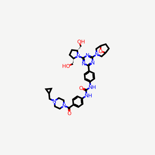 O=C(Nc1ccc(C(=O)N2CCN(CC3CC3)CC2)cc1)Nc1ccc(-c2nc(N3CC4CCC(C3)O4)nc(N3[C@H](CO)CC[C@@H]3CO)n2)cc1